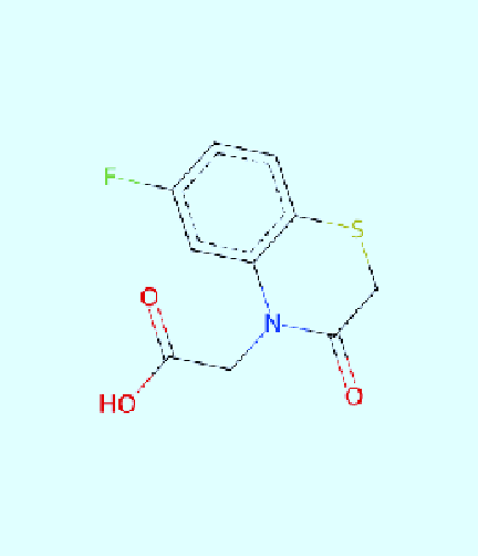 O=C(O)CN1C(=O)CSc2ccc(F)cc21